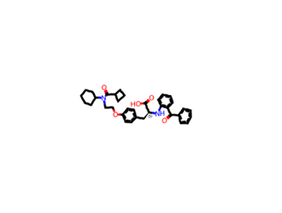 O=C(c1ccccc1)c1ccccc1N[C@@H](Cc1ccc(OCCN(C(=O)C2CCC2)C2CCCCC2)cc1)C(=O)O